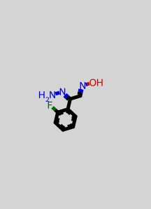 N/N=C(/C=N/O)c1ccccc1F